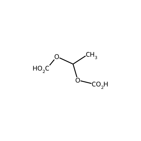 CC(OC(=O)O)OC(=O)O